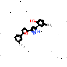 Cc1cccc(-c2ccc(-c3cc(-c4cc(C)ccc4O)[nH]n3)o2)c1